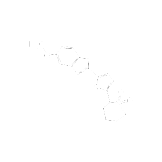 COc1ccc2sc(-c3ccc([C]4CCCCS4(=O)=O)s3)cc2c1